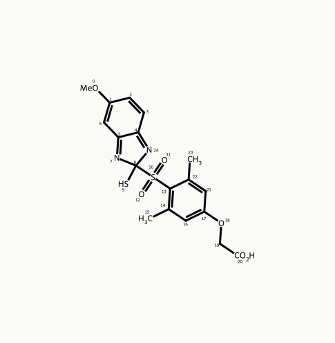 COc1ccc2c(c1)=NC(S)(S(=O)(=O)c1c(C)cc(OCC(=O)O)cc1C)N=2